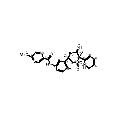 COc1cnc(C(=O)Nc2ccc(F)c([C@]3(C)CS(=O)(=O)[C@@](C)(C4=CC=CCN4)C(=N)N3)c2)cn1